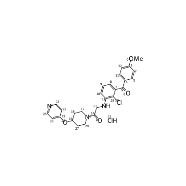 COc1ccc(C(=O)c2cccc(NCC(=O)N3CCC(Oc4ccncc4)CC3)c2Cl)cc1.Cl